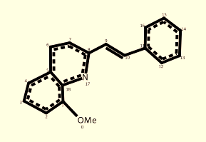 COc1cccc2ccc(C=Cc3ccccc3)nc12